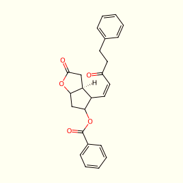 O=C(/C=C\C1C(OC(=O)c2ccccc2)CC2OC(=O)C[C@H]21)CCc1ccccc1